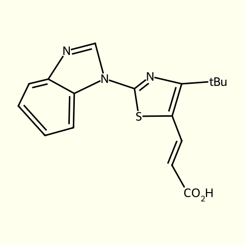 CC(C)(C)c1nc(-n2cnc3ccccc32)sc1C=CC(=O)O